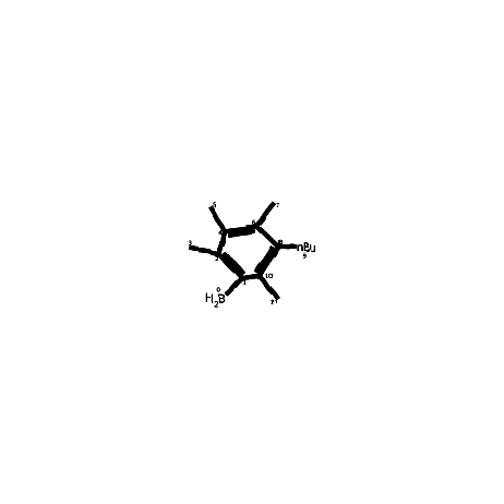 Bc1c(C)c(C)c(C)c(CCCC)c1C